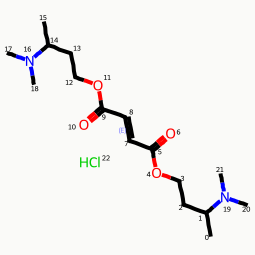 CC(CCOC(=O)/C=C/C(=O)OCCC(C)N(C)C)N(C)C.Cl